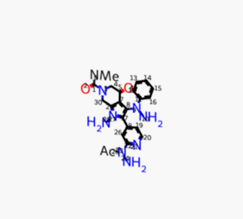 CNC(=O)N1CC(=O)c2c(N(N)c3ccccc3)c(-c3ccnc(N(N)C(C)=O)c3)n(N)c2C1